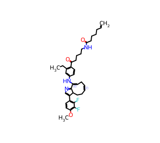 C=CCCCCC(=O)NCCCCC(=O)c1ccc(N/C2=C\C/C=C\CCC3C(c4ccc(OC)c(F)c4F)=CN=C23)cc1CC